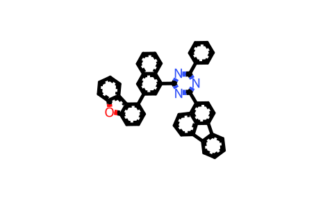 c1ccc(-c2nc(-c3cc(-c4cccc5oc6ccccc6c45)cc4ccccc34)nc(-c3ccc4c5c(cccc35)-c3ccccc3-4)n2)cc1